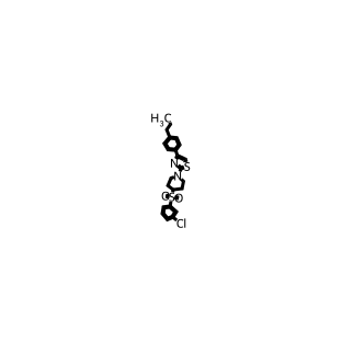 CCCc1ccc(-c2csc(N3CCC(S(=O)(=O)c4cccc(Cl)c4)CC3)n2)cc1